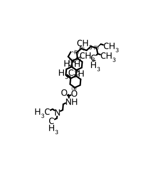 CC[C@H](CC[C@@H](C)[C@H]1CC[C@H]2[C@@H]3CC=C4C[C@@H](OC(=O)NCCN(CC)CC)CC[C@]4(C)[C@H]3CC[C@]12C)C(C)C